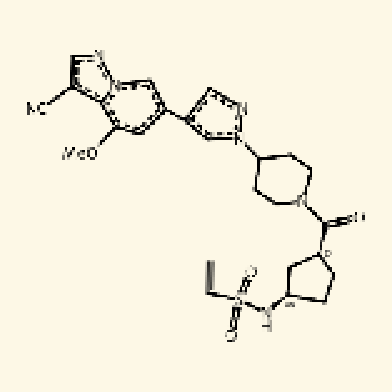 C=CS(=O)(=O)N[C@@H]1CC[C@H](C(=O)N2CCC(n3cc(-c4cc(OC)c5c(C#N)cnn5c4)cn3)CC2)C1